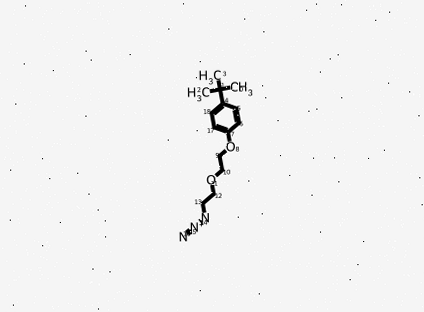 CC(C)(C)c1ccc(OCCOCCN=[N+]=[N-])cc1